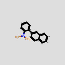 PN(P)c1ccccc1-c1ccc2ccccc2c1